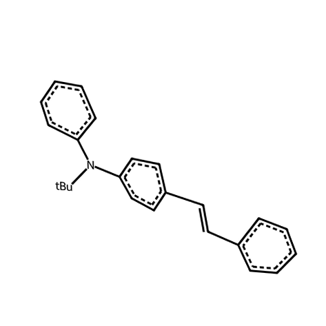 CC(C)(C)N(c1ccccc1)c1ccc(/C=C/c2ccccc2)cc1